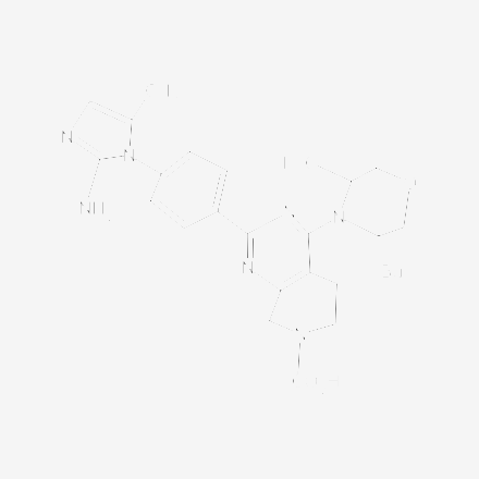 Cc1cnc(N)n1-c1ccc(-c2nc3c(c(N4CCOCC4C)n2)[C@H](C(C)(C)C)CN(C(=O)O)C3)cc1